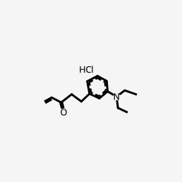 C=CC(=O)CCc1cccc(N(CC)CC)c1.Cl